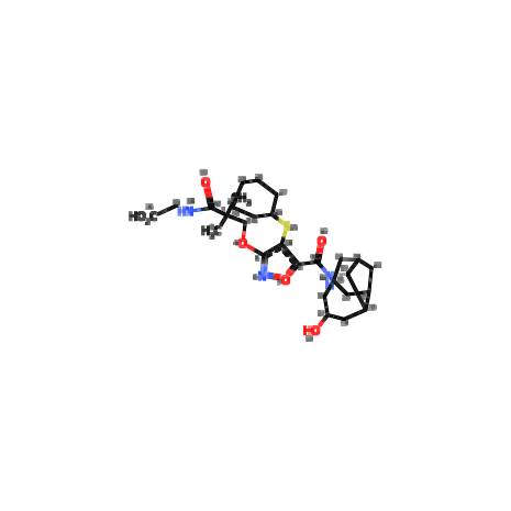 CC(C)(COc1noc(C(=O)N[C@@H]2C3CC4CC(O)CC2C(C4)C3)c1SC1CCCCC1)C(=O)NCC(=O)O